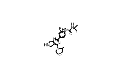 CC(I)NC(=O)Nc1ccc(-c2nc3c(c(N4CCOCC4C)n2)CNC3)cc1F